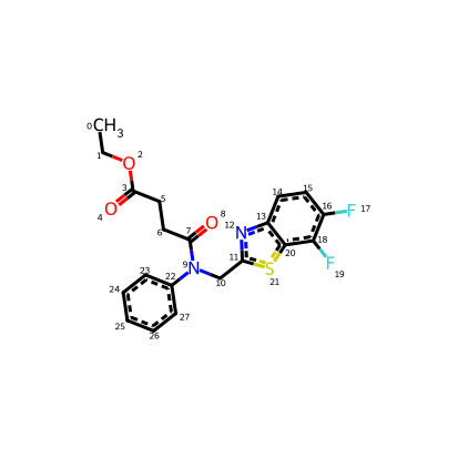 CCOC(=O)CCC(=O)N(Cc1nc2ccc(F)c(F)c2s1)c1ccccc1